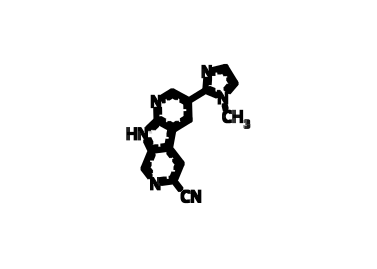 Cn1ccnc1-c1cnc2[nH]c3cnc(C#N)cc3c2c1